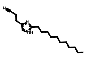 CCCCCCCCCCCc1nc(CCC#N)c[nH]1